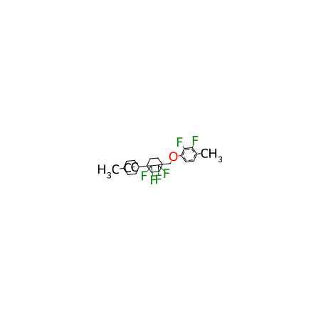 Cc1ccc(OCC23CCC(C45CCC(C)(CC4)CC5)(CC2)C(F)(F)C3(F)F)c(F)c1F